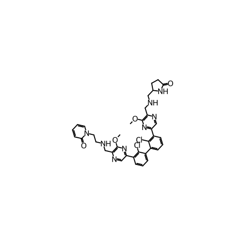 COc1nc(-c2cccc(-c3cccc(-c4cnc(CNCC5CCC(=O)N5)c(OC)n4)c3Cl)c2Cl)cnc1CNCCn1ccccc1=O